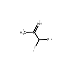 CC(=N)[C](F)F